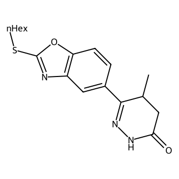 CCCCCCSc1nc2cc(C3=NNC(=O)CC3C)ccc2o1